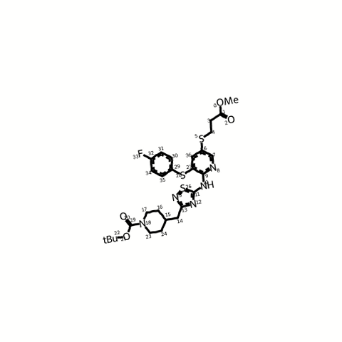 COC(=O)CCSc1cnc(Nc2nc(CC3CCN(C(=O)OC(C)(C)C)CC3)ns2)c(Sc2ccc(F)cc2)c1